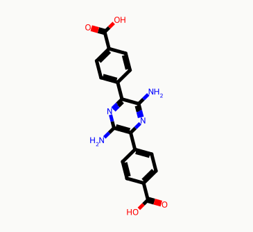 Nc1nc(-c2ccc(C(=O)O)cc2)c(N)nc1-c1ccc(C(=O)O)cc1